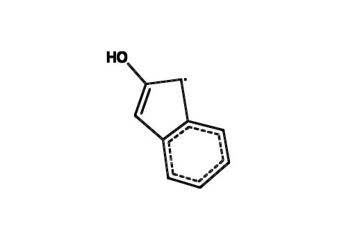 OC1=Cc2ccccc2[CH]1